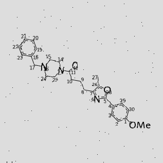 COc1ccc(-c2nc(CCCC(=O)N3CCN(Cc4ccccc4)CC3)c(C)o2)cc1